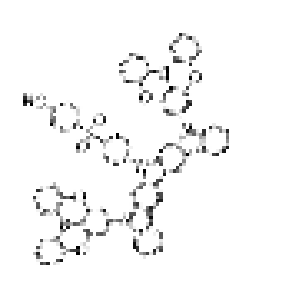 N#Cc1ccc(S(=O)(=O)c2ccc(-n3c4cc5c(cc4c4cc6c7ccccc7n(-c7cc8c9c(c7)Oc7ccccc7B9c7ccccc7O8)c6cc43)c3ccccc3n5-c3cc4c5c(c3)Oc3ccccc3B5c3ccccc3O4)cc2)cc1